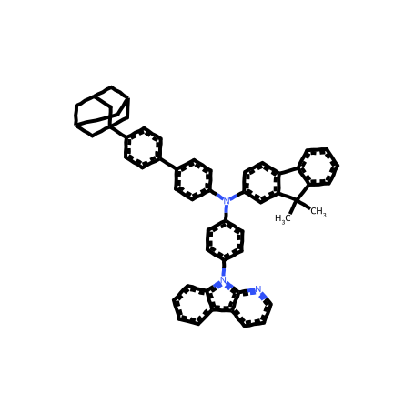 CC1(C)c2ccccc2-c2ccc(N(c3ccc(-c4ccc(C56CC7CC(CC(C7)C5)C6)cc4)cc3)c3ccc(-n4c5ccccc5c5cccnc54)cc3)cc21